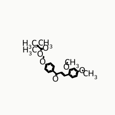 COc1ccc(C=CC(=O)c2ccc(OCOC(=O)C(C)(C)C)cc2)c(OC)c1